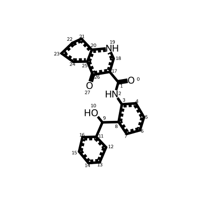 O=C(Nc1ccccc1C(O)c1ccccc1)c1c[nH]c2ccccc2c1=O